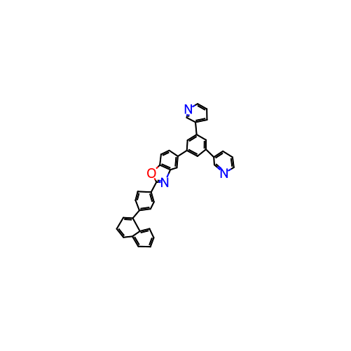 c1cncc(-c2cc(-c3cccnc3)cc(-c3ccc4oc(-c5ccc(-c6cccc7ccccc67)cc5)nc4c3)c2)c1